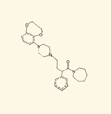 O=C(C(CCN1CCN(c2cccc3c2OCCO3)CC1)c1ccccc1)N1CCCCCC1